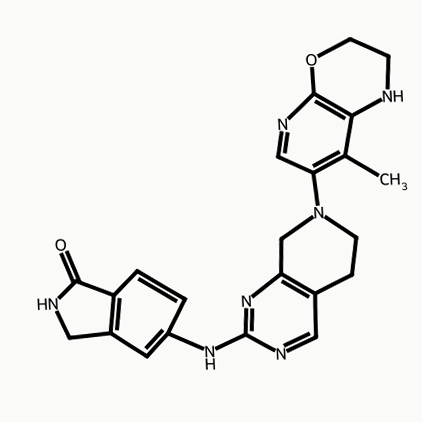 Cc1c(N2CCc3cnc(Nc4ccc5c(c4)CNC5=O)nc3C2)cnc2c1NCCO2